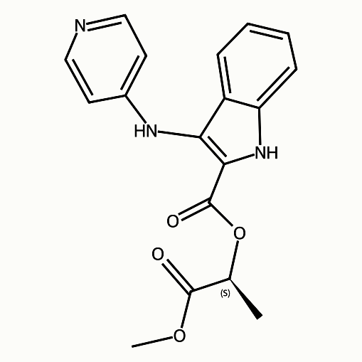 COC(=O)[C@H](C)OC(=O)c1[nH]c2ccccc2c1Nc1ccncc1